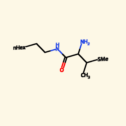 CCCCCCCCNC(=O)C(N)C(C)SC